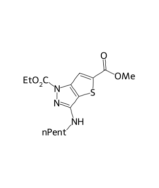 CCCCCNc1nn(C(=O)OCC)c2cc(C(=O)OC)sc12